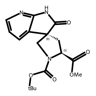 COC(=O)[C@@H]1C[C@@]2(CN1C(=O)OC(C)(C)C)C(=O)Nc1ncccc12